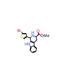 COC(=O)C1Cc2c([nH]c3ccccc23)C(c2csc(Br)c2)N1